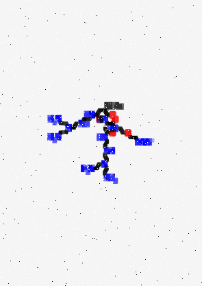 CC(=O)N[C@H](CC(=O)NCCNCCN(CCN)CCN)C(=O)N[C@@H](CC(=O)NCCNCCN(CCN)CCN)C(=O)NCCOCCN=[N+]=[N-]